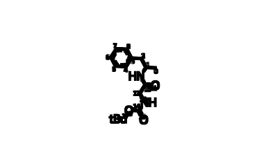 CC(Cc1ccccc1)NC(=O)CNC(=O)OC(C)(C)C